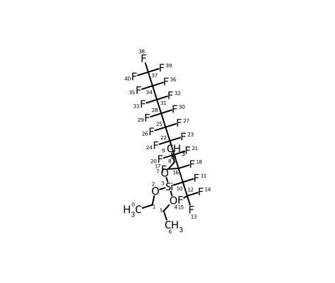 CCO[Si](OCC)(OCC)C(F)(C(F)(F)F)C(F)(F)C(F)(F)C(F)(F)C(F)(F)C(F)(F)C(F)(F)C(F)(F)C(F)(F)F